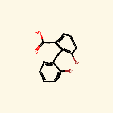 O=C(O)c1cccc(Br)c1-c1ccccc1Br